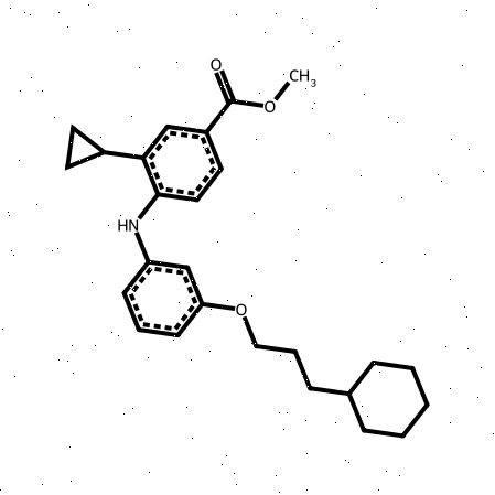 COC(=O)c1ccc(Nc2cccc(OCCCC3CCCCC3)c2)c(C2CC2)c1